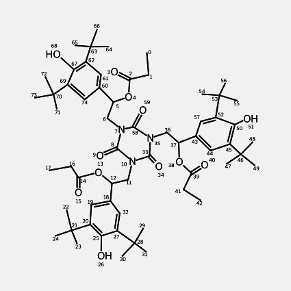 CCC(=O)OC(Cn1c(=O)n(CC(OC(=O)CC)c2cc(C(C)(C)C)c(O)c(C(C)(C)C)c2)c(=O)n(CC(OC(=O)CC)c2cc(C(C)(C)C)c(O)c(C(C)(C)C)c2)c1=O)c1cc(C(C)(C)C)c(O)c(C(C)(C)C)c1